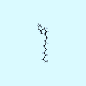 CCc1cc(CCOCCCCCO)cs1